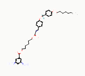 N#CCCCCCCOc1ccc(C(F)(F)Oc2ccc(/C=C/C(=O)OCCCCCCOC(=O)c3cc(N)cc(N)c3)cc2)cc1